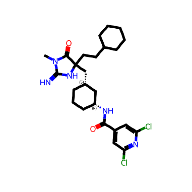 CN1C(=N)NC(CCC2CCCCC2)(C[C@H]2CCC[C@@H](NC(=O)c3cc(Cl)nc(Cl)c3)C2)C1=O